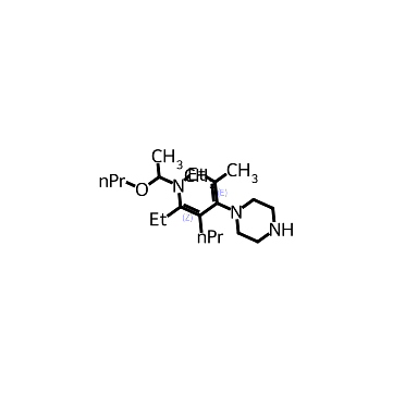 CCCOC(C)N(C)/C(CC)=C(CCC)\C(=C(\C)CC)N1CCNCC1